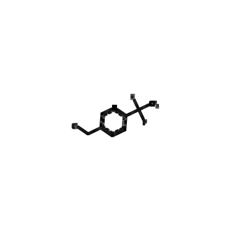 FC(F)(F)C(F)(F)c1ccc(CCl)cn1